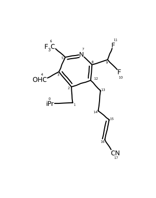 CC(C)Cc1c(C=O)c(C(F)(F)F)nc(C(F)F)c1CCC=CC#N